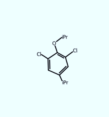 CC(C)Oc1c(Cl)cc(C(C)C)cc1Cl